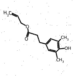 C=CCOC(=O)CCc1cc(C)c(O)c(C)c1